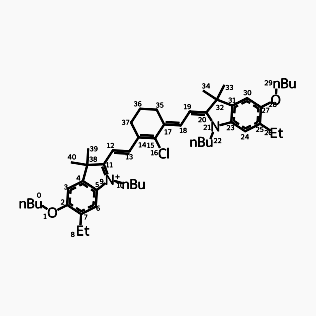 CCCCOc1cc2c(cc1CC)[N+](CCCC)=C(/C=C/C1=C(Cl)C(=C/C=C3\N(CCCC)c4cc(CC)c(OCCCC)cc4C3(C)C)/CCC1)C2(C)C